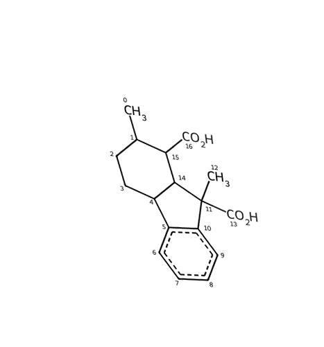 CC1CCC2c3ccccc3C(C)(C(=O)O)C2C1C(=O)O